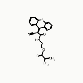 C=C(C)C(=O)OCCNC(=O)C(C#N)=C1c2ccccc2Sc2ccccc21